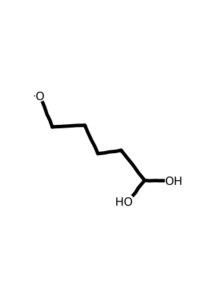 [O]CCCCC(O)O